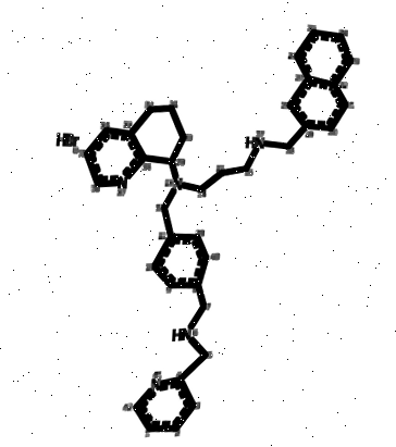 Br.c1ccc(CNCc2ccc(CN(CCCNCc3ccc4ccccc4c3)C3CCCc4cccnc43)cc2)nc1